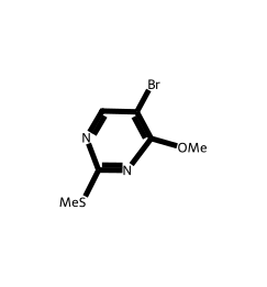 COc1nc(SC)ncc1Br